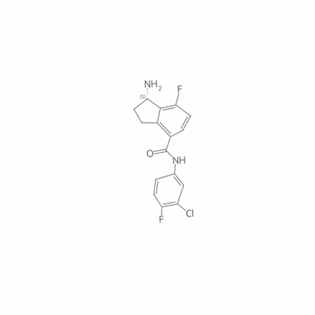 N[C@H]1CCc2c(C(=O)Nc3ccc(F)c(Cl)c3)ccc(F)c21